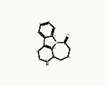 O=C1CCCC2NCCc3c2n1c1ccccc31